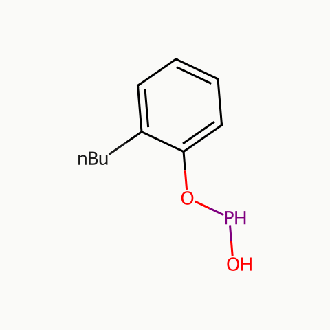 CCCCc1ccccc1OPO